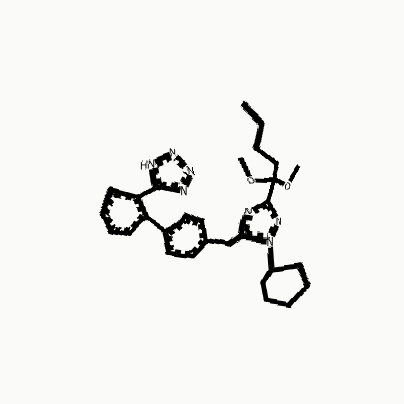 CCCCC(OC)(OC)c1nc(Cc2ccc(-c3ccccc3-c3nnn[nH]3)cc2)n(C2CCCCC2)n1